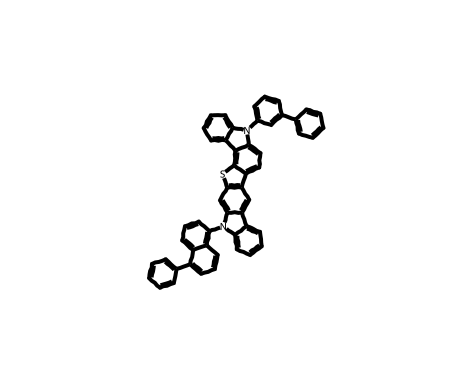 c1ccc(-c2cccc(-n3c4ccccc4c4c5sc6cc7c(cc6c5ccc43)c3ccccc3n7-c3cccc4c(-c5ccccc5)cccc34)c2)cc1